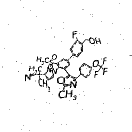 Cc1nc(-c2ccc(OC(F)(F)F)cc2)c(-c2cc(-c3ccc(CO)c(F)c3)cc(S(C)(=O)=O)c2-n2ccc(C(C)(C)C#N)n2)o1